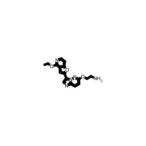 CCOc1nccc2oc(-c3cnc4ccc(OCCN)nn34)cc12